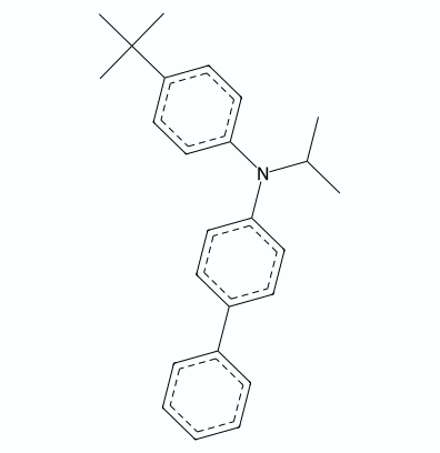 CC(C)N(c1ccc(-c2ccccc2)cc1)c1ccc(C(C)(C)C)cc1